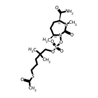 CC(=O)SCCCC(C)(C)COS(=O)(=O)ON1C(=O)N(C)[C@H](C(N)=O)CC[C@@H]1C